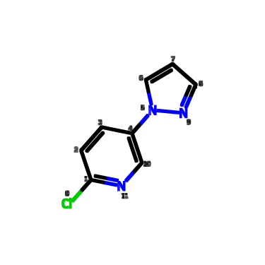 Clc1ccc(-n2cc[c]n2)cn1